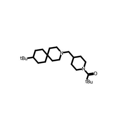 CC(C)(C)C(=O)N1CCC(CN2CCC3(CCC(C(C)(C)C)CC3)CC2)CC1